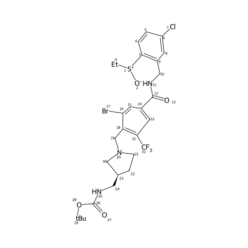 CC[S+]([O-])c1ccc(Cl)cc1CNC(=O)c1cc(Br)c(CN2CC[C@@H](CNC(=O)OC(C)(C)C)C2)c(C(F)(F)F)c1